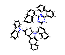 C1=C2C(Cc3ccccc31)C1C=C(n3c4ccccc4c4ccccc43)CCC1N2c1cc(C2=NC(c3ccccc3-c3ccccc3)=NC(c3cccc4ccccc34)N2)cc2ccccc12